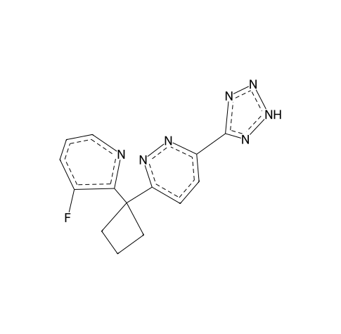 Fc1cccnc1C1(c2ccc(-c3nn[nH]n3)nn2)CCC1